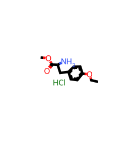 CCOc1ccc(CC(N)C(=O)OC)cc1.Cl